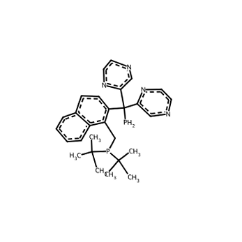 CC(C)(C)P(Cc1c(C(P)(c2cnccn2)c2cnccn2)ccc2ccccc12)C(C)(C)C